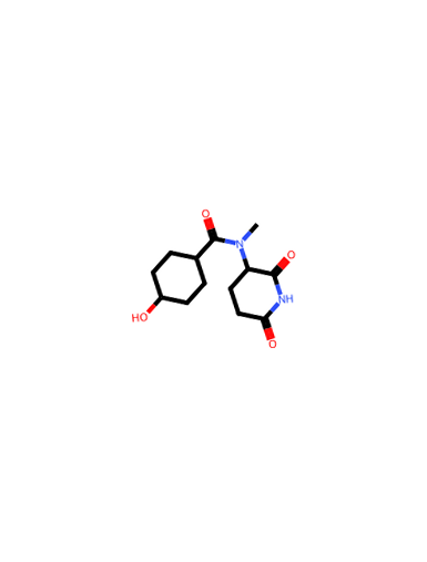 CN(C(=O)C1CCC(O)CC1)C1CCC(=O)NC1=O